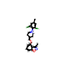 Cc1cc(F)c(N2CCC(COc3cccc4onc(C)c34)CC2)c(F)c1